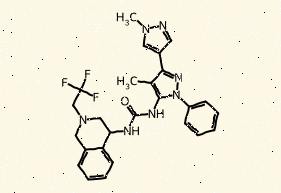 Cc1c(-c2cnn(C)c2)nn(-c2ccccc2)c1NC(=O)NC1CN(CC(F)(F)F)Cc2ccccc21